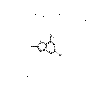 Cc1cc2cc(Br)cc(C(F)(F)F)c2s1